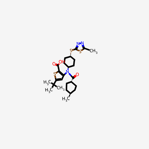 Cc1nnc(S[C@H]2CC[C@H](N(c3cc(C(C)(C)C)sc3C(=O)O)C(=O)[C@H]3CC[C@H](C)CC3)CC2)s1